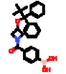 CC(C)(C)[Si](OC1CN(C(=O)c2ccc(B(O)O)cc2)C1)(c1ccccc1)c1ccccc1